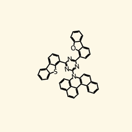 c1ccc2c3c(ccc2c1)N(c1nc(-c2cccc4c2oc2ccccc24)nc(-c2cccc4c2sc2ccccc24)n1)c1cccc2cccc-3c12